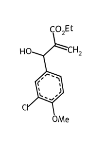 C=C(C(=O)OCC)C(O)c1ccc(OC)c(Cl)c1